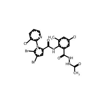 CC(=O)NNC(=O)c1cc(Cl)cc(C)c1NC(=O)c1cc(Br)c(Br)n1-c1ncccc1Cl